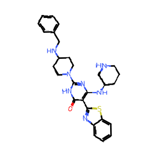 O=c1[nH]c(N2CCC(NCc3ccccc3)CC2)nc(N[C@@H]2CCCNC2)c1-c1nc2ccccc2s1